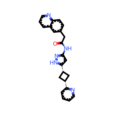 O=C(Cc1ccc2ncccc2c1)Nc1cc([C@H]2C[C@@H](c3ccccn3)C2)[nH]n1